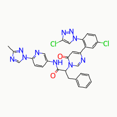 Cc1ncn(-c2ccc(NC(=O)C(Cc3ccccc3)n3cnc(-c4cc(Cl)ccc4-n4cc(Cl)nn4)cc3=O)cn2)n1